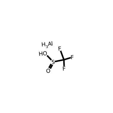 O=S(O)C(F)(F)F.[AlH3]